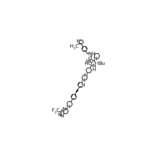 Cc1ncsc1-c1ccc(CNC(=O)[C@@H]2CCCCN2C(O)[C@@H](NC(O)C2CCC(N3CCN(c4ccc(C#Cc5ccc(C6CCN(C7=Nn8c(nnc8C(F)(F)F)CC7)CC6)cc5)cn4)CC3)CC2)C(C)(C)C)cc1